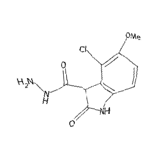 COc1ccc2c(c1Cl)C(C(=O)NN)C(=O)N2